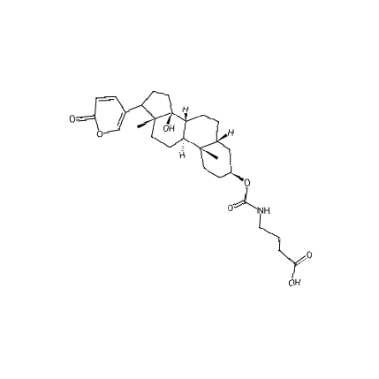 C[C@]12CC[C@H](OC(=O)NCCCC(=O)O)C[C@H]1CC[C@@H]1[C@@H]2CC[C@]2(C)C(c3ccc(=O)oc3)CC[C@]12O